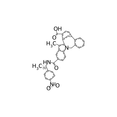 Cc1c2n(c3ccc(C(=O)N[C@@H](C)c4ccc([N+](=O)[O-])cc4)cc13)Cc1ccccc1-c1ccc(C(=O)O)c-2c1